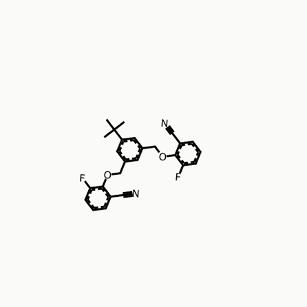 CC(C)(C)c1cc(COc2c(F)cccc2C#N)cc(COc2c(F)cccc2C#N)c1